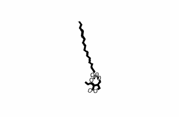 CCCCCCCCCCCCCCCCOP1(=O)OCC2COC(=O)C2=C(CC)O1